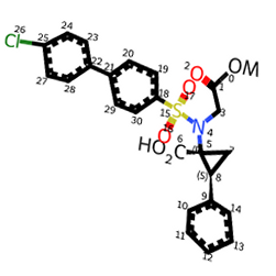 COC(=O)CN([C@]1(C(=O)O)C[C@H]1c1ccccc1)S(=O)(=O)c1ccc(-c2ccc(Cl)cc2)cc1